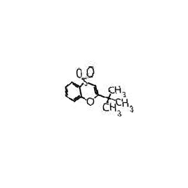 CC(C)(C)C1=CS(=O)(=O)c2ccccc2O1